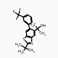 CC(C)(C)c1nc2cc(C(C)(C)O)c(-c3cccc(C(F)(F)F)c3)cc2s1